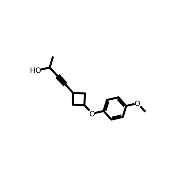 COc1ccc(OC2CC(C#CC(C)O)C2)cc1